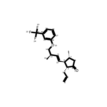 C=CC[C@H]1C(=O)C[C@@H](C)[C@@H]1/C=C/[C@@H](C)COc1cccc(C(F)(F)F)c1